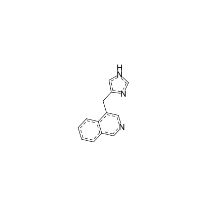 c1ccc2c(Cc3c[nH]cn3)cncc2c1